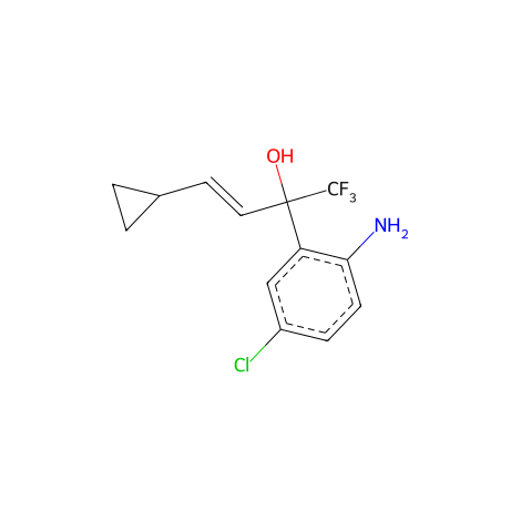 Nc1ccc(Cl)cc1C(O)(/C=C/C1CC1)C(F)(F)F